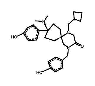 CN(C)[C@]1(c2ccc(O)cc2)CC[C@]2(CC1)CN(Cc1ccc(O)cc1)C(=O)CN2CC1CCC1